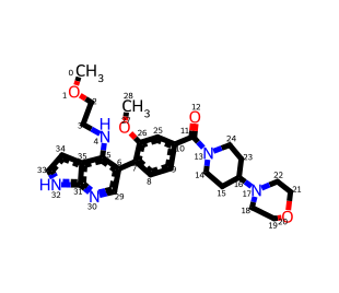 COCCNc1c(-c2ccc(C(=O)N3CCC(N4CCOCC4)CC3)cc2OC)cnc2[nH]ccc12